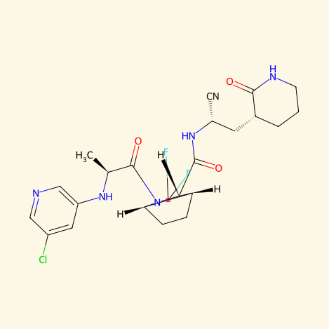 C[C@H](Nc1cncc(Cl)c1)C(=O)N1[C@H]2CC[C@@H]([C@H]1C(=O)N[C@H](C#N)C[C@H]1CCCNC1=O)C(F)(F)C2